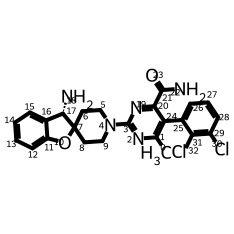 Cc1nc(N2CCC3(CC2)Oc2ccccc2[C@@H]3N)nc(C(N)=O)c1-c1cccc(Cl)c1Cl